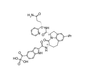 CC(C)c1cc2c3c(c1)C[C@@H](C(=O)N[C@@H](CCC(N)=O)c1ccccn1)N3C(=O)[C@@H](NC(=O)c1cc3cc(C(=O)P(=O)(O)O)ccc3[nH]1)CC2